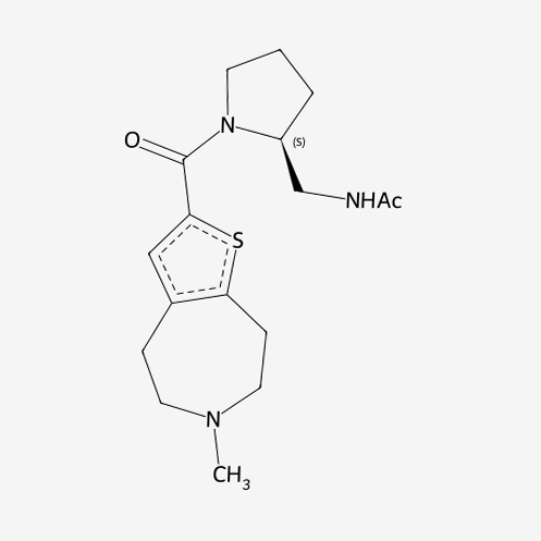 CC(=O)NC[C@@H]1CCCN1C(=O)c1cc2c(s1)CCN(C)CC2